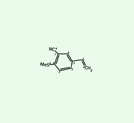 C=[C]c1ccc(SC)c(C#N)c1